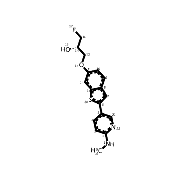 CNc1ccc(-c2cc3ccc(OC[C@H](O)CF)cc3s2)cn1